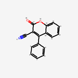 N#Cc1c(-c2ccccc2)c2ccccc2oc1=O